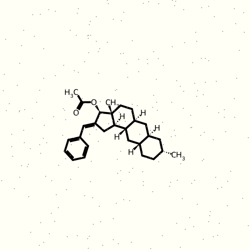 CC(=O)O[C@@H]1/C(=C/c2ccccc2)C[C@@H]2[C@H]3C[C@H]4CC[C@@H](C)C[C@@H]4C[C@@H]3CC[C@@]12C